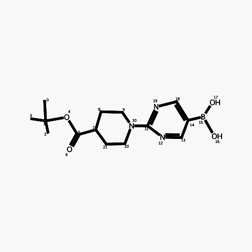 CC(C)(C)OC(=O)C1CCN(c2ncc(B(O)O)cn2)CC1